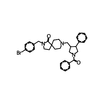 O=C(c1ccccc1)N1CC(CN2CCC3(CC2)CCN(Cc2ccc(Br)cc2)C3=O)C(c2ccccc2)C1